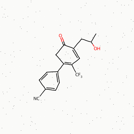 CC(O)[CH]C1=CC(C(F)(F)F)=C(c2ccc(C#N)cc2)CC1=O